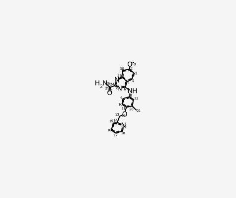 COc1[c]cc2c(Nc3ccc(OCc4ccccn4)c(C)c3)nc(C(N)=O)nc2c1